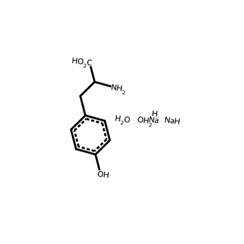 NC(Cc1ccc(O)cc1)C(=O)O.O.O.[NaH].[NaH]